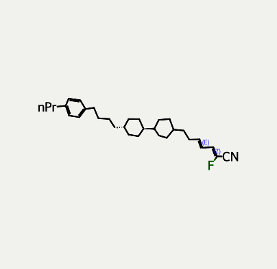 CCCc1ccc(CCCC[C@H]2CC[C@H](C3CCC(CC/C=C/C=C(\F)C#N)CC3)CC2)cc1